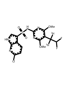 [2H]C([2H])(c1c(OC)nc(NS(=O)(=O)c2c[nH]c3nc(Cl)ccc23)nc1OC)C(F)F